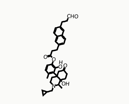 Cc1ccc(OC(=O)CCc2ccc3cc(CCC=O)ccc3c2)c(O)c1C12CCN(CC3CC3)C(C)C1(O)CCC(=O)C2